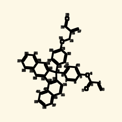 C=CC(=O)Oc1ccc(C2(c3ccc(OCC(=C)C=O)cc3)c3cc4ccccc4cc3-c3c2ccc2ccccc32)cc1